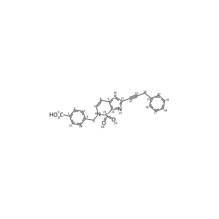 O=C(O)c1ccc(CN2C=Cc3sc(C#CCc4ccccc4)nc3S2(=O)=O)cc1